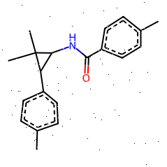 Cc1ccc(C(=O)NC2C(c3ccc(C)cc3)C2(C)C)cc1